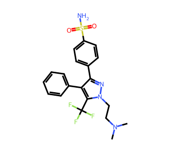 CN(C)CCn1nc(-c2ccc(S(N)(=O)=O)cc2)c(-c2ccccc2)c1C(F)(F)F